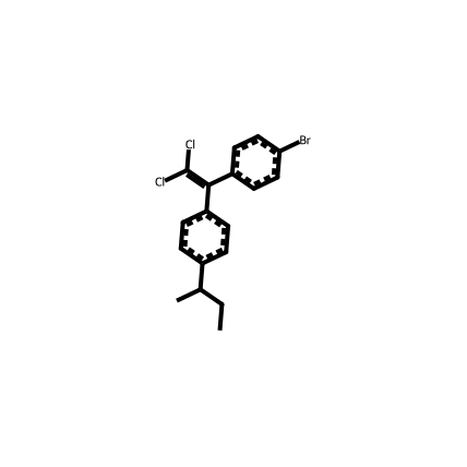 CCC(C)c1ccc(C(=C(Cl)Cl)c2ccc(Br)cc2)cc1